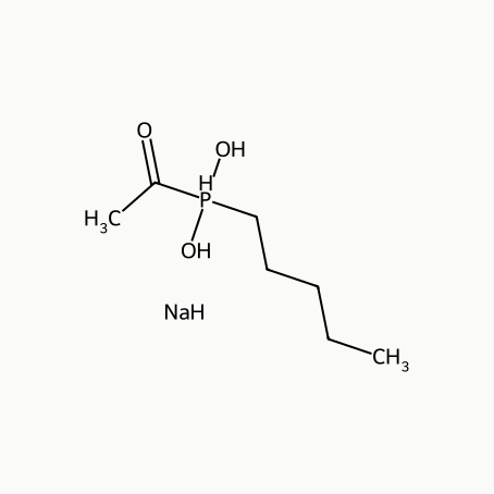 CCCCC[PH](O)(O)C(C)=O.[NaH]